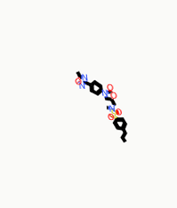 CCCc1ccc(S(=O)(=O)N(C)CC2CN(c3ccc(-c4noc(C)n4)cc3)C(=O)O2)cc1